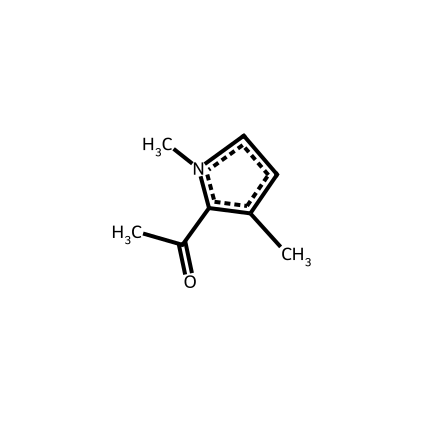 CC(=O)c1c(C)ccn1C